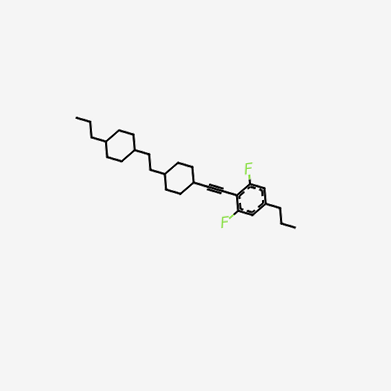 CCCc1cc(F)c(C#CC2CCC(CCC3CCC(CCC)CC3)CC2)c(F)c1